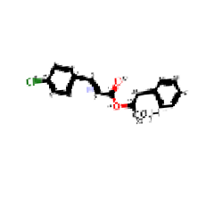 O=C(/C=C/c1ccc(Cl)cc1)OC(Cc1ccccc1)C(=O)O